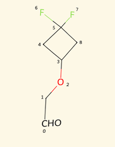 O=CCOC1CC(F)(F)C1